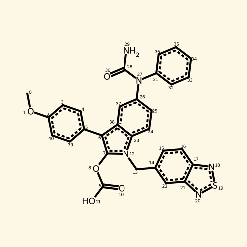 COc1ccc(-c2c(OC(=O)O)n(Cc3ccc4nsnc4c3)c3ccc(N(C(N)=O)c4ccccc4)cc23)cc1